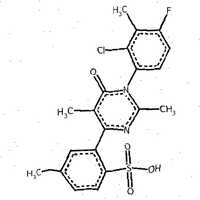 Cc1ccc(S(=O)(=O)O)c(-c2nc(C)n(-c3ccc(F)c(C)c3Cl)c(=O)c2C)c1